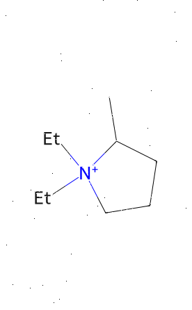 CC[N+]1(CC)CCCC1C